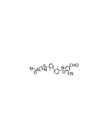 Cc1c(-c2nc3cc(C=O)cc(C#N)c3o2)cccc1-c1cccc(-c2nc3c(s2)CN(C(=O)CN(C)C)C3)c1C